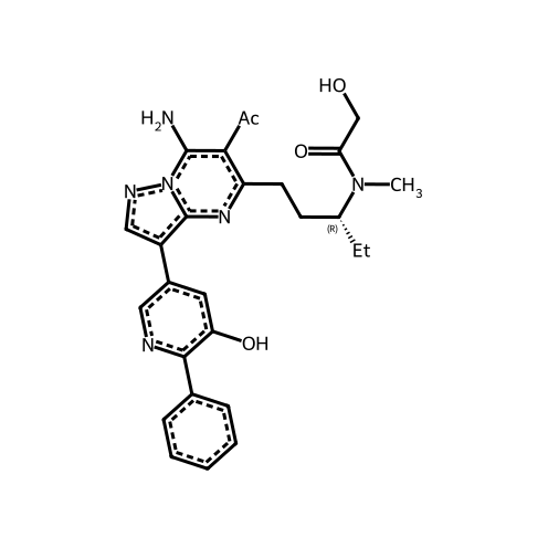 CC[C@H](CCc1nc2c(-c3cnc(-c4ccccc4)c(O)c3)cnn2c(N)c1C(C)=O)N(C)C(=O)CO